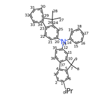 CC(C)c1ccc2c(c1)C(C)(C)c1cc(N(c3ccccc3)c3ccc4c(c3)C(C)(C)c3ccccc3-4)ccc1-2